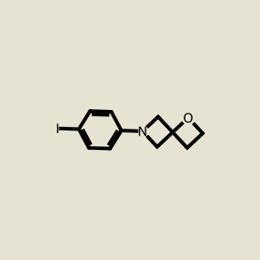 Ic1ccc(N2CC3(CCO3)C2)cc1